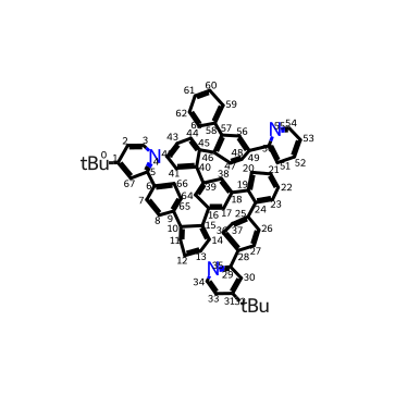 CC(C)(C)c1ccnc(-c2ccc(-c3ccccc3-c3cc(-c4ccccc4-c4ccc(-c5cc(C(C)(C)C)ccn5)cc4)cc(-c4ccccc4-c4ccc(-c5ccccn5)cc4-c4ccccc4)c3)cc2)c1